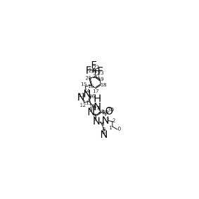 CCCn1c(C#N)nc2nc(-c3cnn(Cc4cccc(C(F)(F)F)c4)c3)[nH]c2c1=O